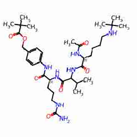 CC(=O)N[C@@H](CCCCNC(C)(C)C)C(=O)NC(C(=O)N[C@@H](CCCNC(N)=O)C(=O)Nc1ccc(COC(=O)C(C)(C)C)cc1)C(C)C